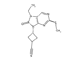 CCn1c(=O)n(C2CC(C#N)C2)c2nc(SC)ncc21